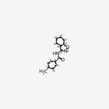 Cc1ccc(C(=O)Nc2noc3ccccc23)cc1